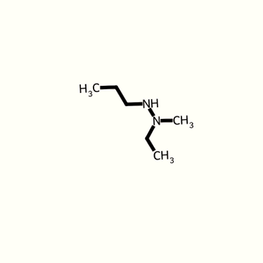 CCCNN(C)CC